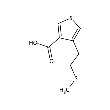 CSCCc1cscc1C(=O)O